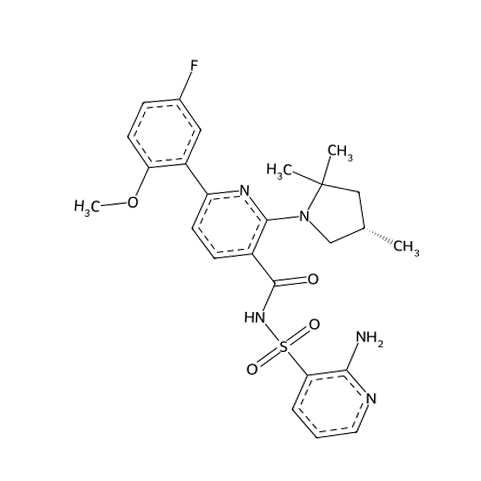 COc1ccc(F)cc1-c1ccc(C(=O)NS(=O)(=O)c2cccnc2N)c(N2C[C@@H](C)CC2(C)C)n1